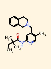 CCC(C)(C)C(=O)Nc1cc(CN2CCc3ccccc3C2)c(C)cn1